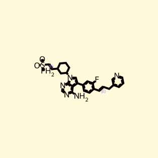 Nc1ncnc2c1c(-c1ccc(/C=C/Cc3cccnc3)c(F)c1)cn2C1CCCC(/C=C/S(=O)(=O)P)C1